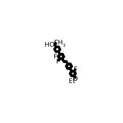 CCOc1ccc(-c2ccc(/C=C/c3ccc(C4CCC(C(C)O)CC4)c(F)c3F)cc2)c(F)c1